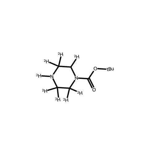 [2H]C1N(C(=O)OC(C)(C)C)C([2H])([2H])C([2H])([2H])N([2H])C1([2H])[2H]